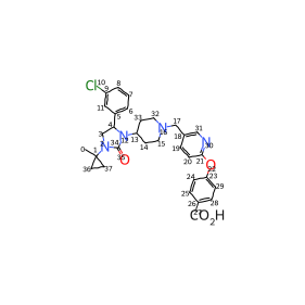 CC1(N2CC(c3cccc(Cl)c3)N(C3CCN(Cc4ccc(Oc5ccc(C(=O)O)cc5)nc4)CC3)C2=O)CC1